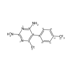 CCc1nc(N)nc(N)c1-c1ccc(C(F)(F)F)cc1